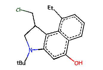 CCc1cccc2c(O)cc3c(c12)C(CCl)CN3C(C)(C)C